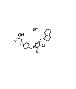 O=C(O)COc1ccc(Cn2c[n+](Cc3cccc4ccccc34)c(Cl)c2Cl)cc1.[Br-]